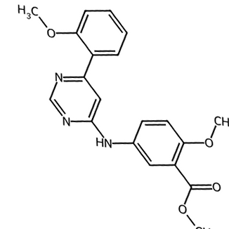 COC(=O)c1cc(Nc2cc(-c3ccccc3OC)ncn2)ccc1OC